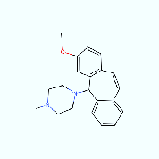 COc1ccc2c(c1)C(N1CCN(C)CC1)c1ccccc1C=C2